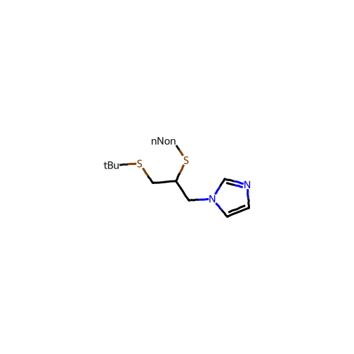 CCCCCCCCCSC(CSC(C)(C)C)Cn1ccnc1